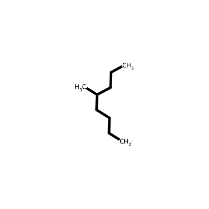 [CH2]CCCC(C)CCC